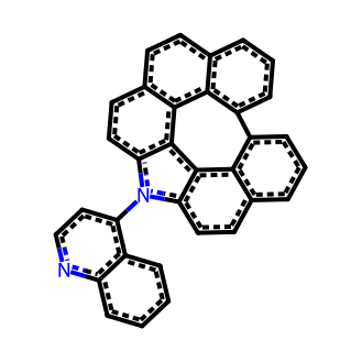 c1cc2c3c(c1)ccc1ccc4c(c13)c1c3c-2cccc3ccc1n4-c1ccnc2ccccc12